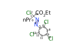 CCCC(Cl)(/N=N/c1c(Cl)cc(Cl)cc1Cl)C(=O)OCC